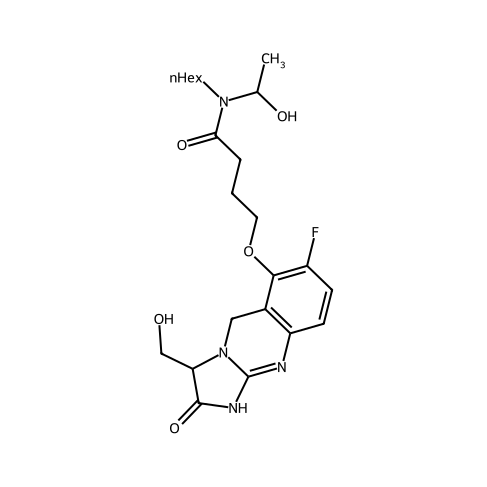 CCCCCCN(C(=O)CCCOc1c(F)ccc2c1CN1C(=N2)NC(=O)C1CO)C(C)O